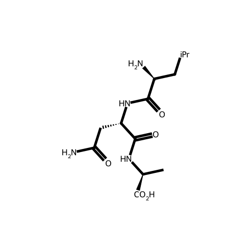 CC(C)C[C@H](N)C(=O)N[C@@H](CC(N)=O)C(=O)N[C@@H](C)C(=O)O